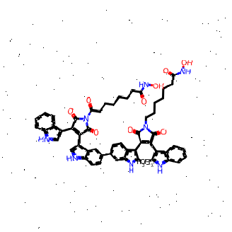 Cc1[nH]c2ccccc2c1C1=C(c2c(C)[nH]c3cc(-c4ccc5[nH]cc(C6=C(c7c[nH]c8ccccc78)C(=O)N(C(=O)CCCCCCC(=O)NO)C6=O)c5c4)ccc23)C(=O)N(CCCCCCC(=O)NO)C1=O